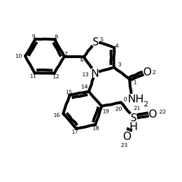 NC(=O)C1=CSC(c2ccccc2)N1c1ccccc1C[SH](=O)=O